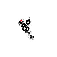 [2H]C([2H])(O)CNC(=O)N[C@@H]1CC[C@@]2(S(=O)(=O)c3ccc(F)cc3)c3ccc(C(F)(C(F)(F)F)C(F)(F)F)cc3CC[C@@H]12